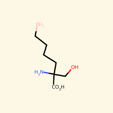 BCCCCC(N)(CO)C(=O)O